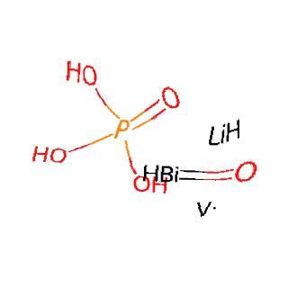 O=P(O)(O)O.[LiH].[O]=[BiH].[V]